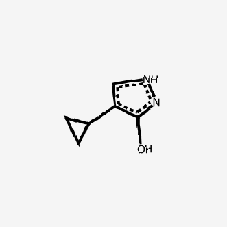 Oc1n[nH]cc1C1CC1